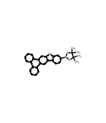 CC1(C)OB(c2ccc3c(c2)oc2cc4c5ccccc5c5ccccc5c4cc23)OC1(C)C